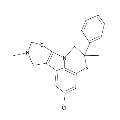 CN1CCc2c(c3cc(Cl)cc4c3n2CC(C)(c2ccccc2)S4)C1